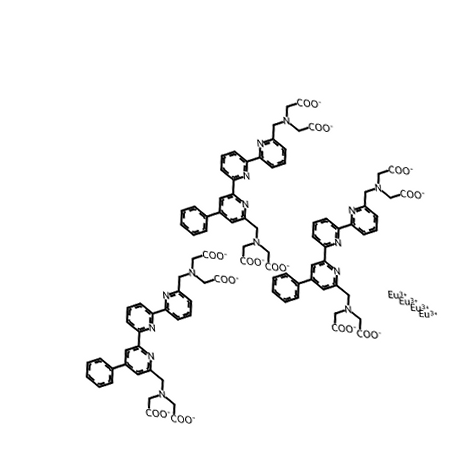 O=C([O-])CN(CC(=O)[O-])Cc1cccc(-c2cccc(-c3cc(-c4ccccc4)cc(CN(CC(=O)[O-])CC(=O)[O-])n3)n2)n1.O=C([O-])CN(CC(=O)[O-])Cc1cccc(-c2cccc(-c3cc(-c4ccccc4)cc(CN(CC(=O)[O-])CC(=O)[O-])n3)n2)n1.O=C([O-])CN(CC(=O)[O-])Cc1cccc(-c2cccc(-c3cc(-c4ccccc4)cc(CN(CC(=O)[O-])CC(=O)[O-])n3)n2)n1.[Eu+3].[Eu+3].[Eu+3].[Eu+3]